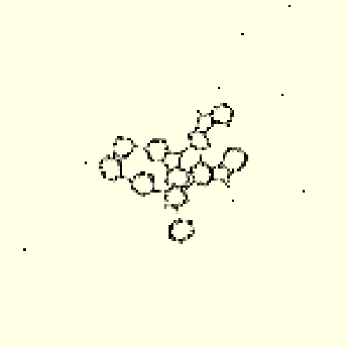 c1ccc(-c2ccc(-c3nc(-c4ccccc4)nc(-c4cc(-c5cc6c(cc5-n5c7ccccc7c7cc(-c8ccccc8)ccc75)oc5ccccc56)c5c(c4)oc4ccccc45)n3)cc2)cc1